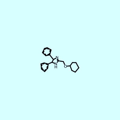 c1ccc(C2N=C(COC3CCCCC3)NC2c2ccccc2)cc1